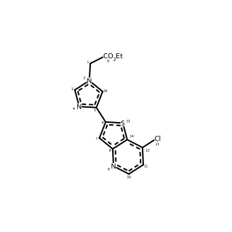 CCOC(=O)Cn1cnc(-c2cc3nccc(Cl)c3s2)c1